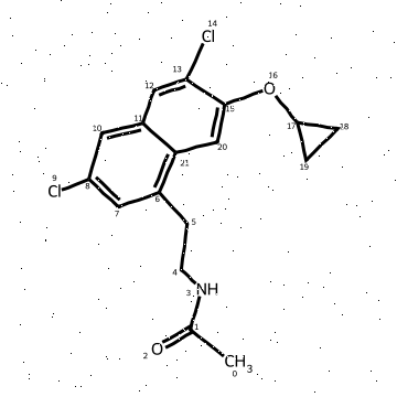 CC(=O)NCCc1cc(Cl)cc2cc(Cl)c(OC3CC3)cc12